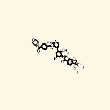 Cc1c(NC(=O)c2ccc3c(c2)OCC3(C)C)cc(F)cc1-c1ccnc2[nH]c(-c3ccc(C(=O)N4CCOCC4)cc3)nc12